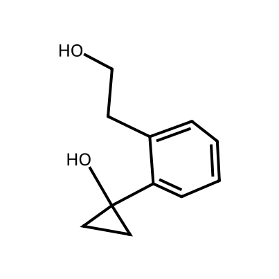 OCCc1ccccc1C1(O)CC1